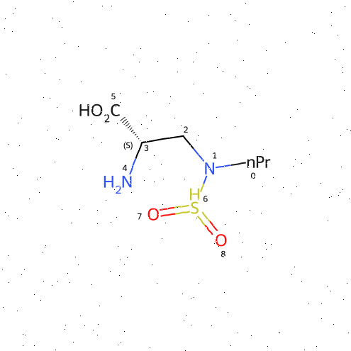 CCCN(C[C@H](N)C(=O)O)[SH](=O)=O